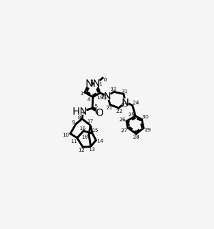 Cn1ncc(C(=O)NC2CCC3CC4CC(C3)C2C4)c1N1CCN(Cc2ccccc2)CC1